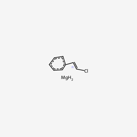 Cl/C=C/c1ccccc1.[MgH2]